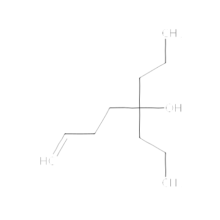 [CH]=CCCC(O)(CCC)CCC